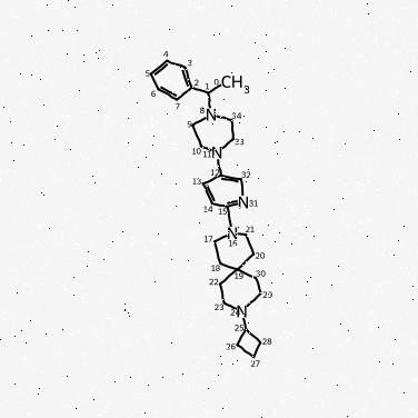 CC(c1ccccc1)N1CCN(c2ccc(N3CCC4(CC3)CCN(C3CCC3)CC4)nc2)CC1